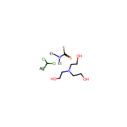 CCN(CC)C(=S)[S-].ClC(Cl)Cl.OCCN(CCO)CCO.[Ag+]